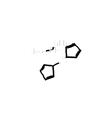 C1=C[CH]([Co][CH]2C=CC=C2)C=C1.CCCCCCPCCCCCC